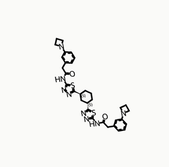 O=C(Cc1cccc(N2CCC2)c1)Nc1nnc([C@H]2CCC[C@H](c3nnc(NC(=O)Cc4cccc(N5CCC5)c4)s3)C2)s1